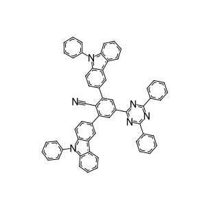 N#Cc1c(-c2ccc3c(c2)c2ccccc2n3-c2ccccc2)cc(-c2nc(-c3ccccc3)nc(-c3ccccc3)n2)cc1-c1ccc2c(c1)c1ccccc1n2-c1ccccc1